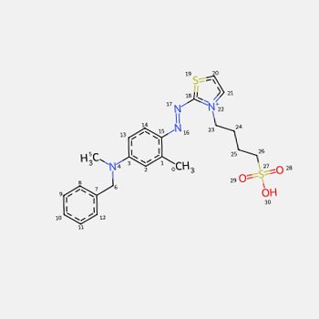 Cc1cc(N(C)Cc2ccccc2)ccc1/N=N/c1scc[n+]1CCCCS(=O)(=O)O